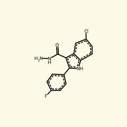 NNC(=O)c1c(-c2ccc(F)cc2)[nH]c2ccc(Cl)cc12